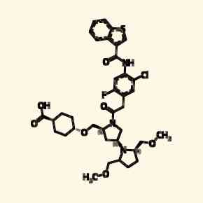 COCC1CC[C@H](COC)N1[C@H]1C[C@@H](CO[C@H]2CC[C@H](C(=O)O)CC2)N(C(=O)Cc2cc(Cl)c(NC(=O)c3csc4ccccc34)cc2F)C1